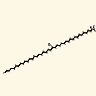 CCCCCCCCCCCCCCCCCCCCCCCCCCCCCCCCCCCCCCC[N+](C)(C)C.[Br-]